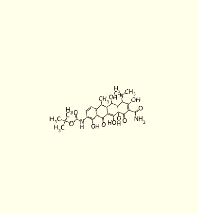 CC1c2ccc(NC(=O)OC(C)(C)C)c(O)c2C(=O)C2=C(O)C3(O)C(=O)C(C(N)=O)=C(O)C(N(C)C)C3C(O)C21